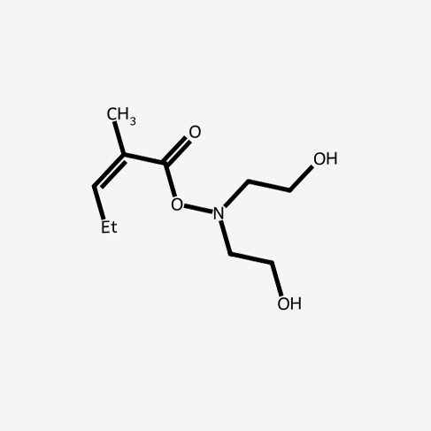 CCC=C(C)C(=O)ON(CCO)CCO